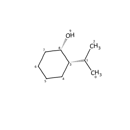 CC(C)[C@@H]1CCCC[C@@H]1O